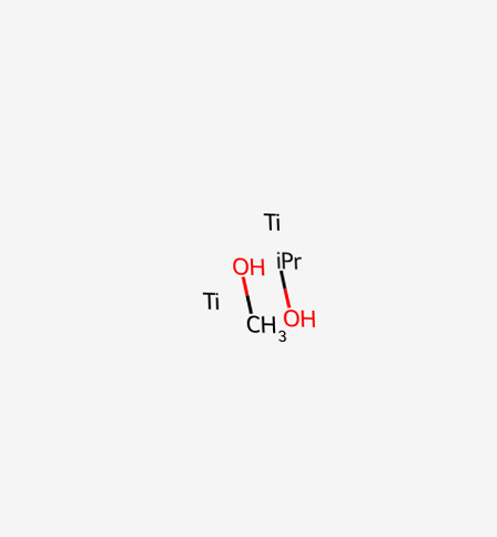 CC(C)O.CO.[Ti].[Ti]